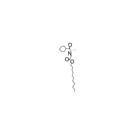 [CH2][C@H](N=CC(=O)OCCCCCCCCCCC)C(=O)C1CCCCC1